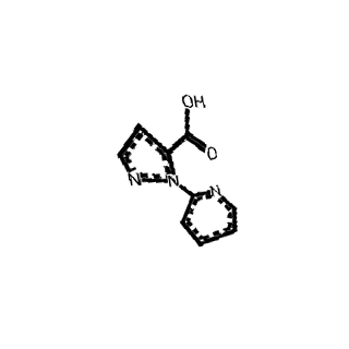 O=C(O)c1ccnn1-c1ccccn1